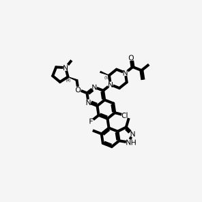 C=C(C)C(=O)N1CCN(c2nc(OC[C@H]3CCCN3C)nc3c(F)c(-c4c(C)ccc5[nH]nc(C)c45)c(Cl)cc23)[C@@H](C)C1